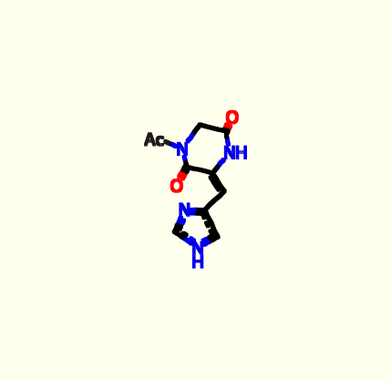 CC(=O)N1CC(=O)NC(=Cc2c[nH]cn2)C1=O